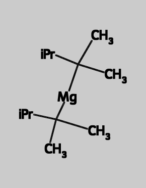 CC(C)[C](C)(C)[Mg][C](C)(C)C(C)C